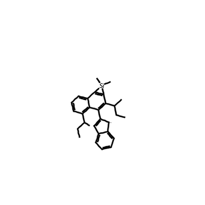 CCC(C)c1c2c(c3cccc(C(C)CC)c3c1C1=Cc3ccccc3[CH]1)[Si]2(C)C